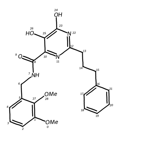 COc1cccc(CNC(=O)c2nc(CCCc3ccccc3)nc(O)c2O)c1OC